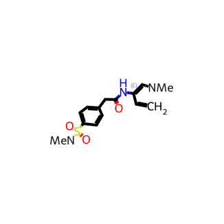 C=C/C(=C\NC)NC(=O)Cc1ccc(S(=O)(=O)NC)cc1